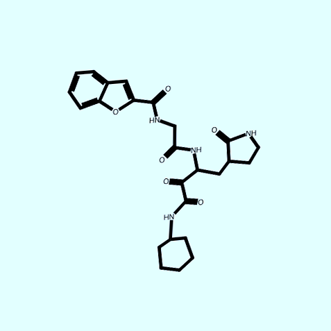 O=C(CNC(=O)c1cc2ccccc2o1)NC(CC1CCNC1=O)C(=O)C(=O)NC1CCCCC1